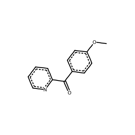 COc1ccc(C(=O)c2ccccn2)cc1